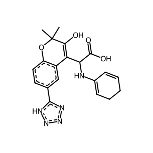 CC1(C)Oc2ccc(-c3nnn[nH]3)cc2C(C(NC2=CCCC=C2)C(=O)O)=C1O